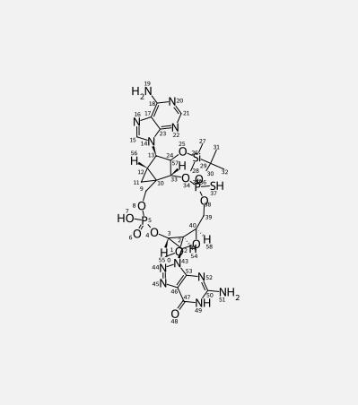 CO[C@H]1[C@H]2OP(=O)(O)OCC34C[C@@H]3[C@@H](n3cnc5c(N)ncnc53)C(O[Si](C)(C)C(C)(C)C)[C@@H]4OP(=O)(S)OC[C@H]1O[C@H]2n1nnc2c(=O)[nH]c(N)nc21